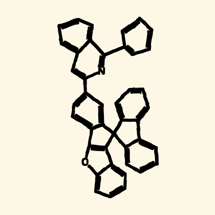 c1ccc(-c2nc(-c3ccc4c(c3)C3(c5ccccc5-c5ccccc53)c3c-4oc4ccccc34)cc3ccccc23)cc1